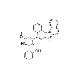 COC1CC(C2=Cc3sc4ccc5ccccc5c4c3C3C=CC=CC23)=NC(C2C=CCCC2O)N1